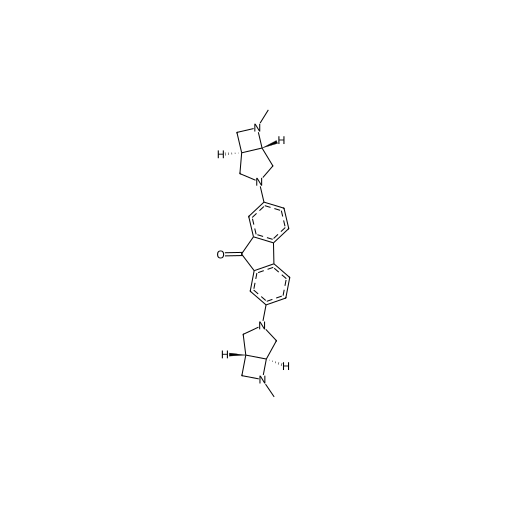 CN1C[C@@H]2CN(c3ccc4c(c3)C(=O)c3cc(N5C[C@H]6CN(C)[C@@H]6C5)ccc3-4)C[C@H]21